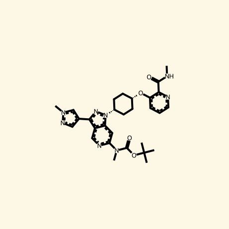 CNC(=O)c1ncccc1O[C@H]1CC[C@@H](n2nc(-c3cnn(C)c3)c3cnc(N(C)C(=O)OC(C)(C)C)cc32)CC1